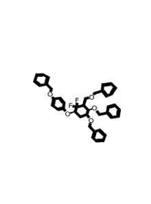 FC1(F)C(COCc2ccccc2)[C@@H](OCc2ccccc2)C(OCc2ccccc2)C[C@H]1Oc1ccc(OCc2ccccc2)cc1